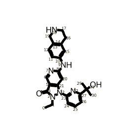 CCn1c(=O)c2cnc(Nc3ccc4c(c3)CCNC4)cc2n1-c1cccc(C(C)(C)O)n1